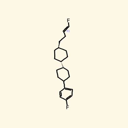 F/C=C/CC[C@H]1CC[C@H](C2CCC(c3ccc(F)cc3)CC2)CC1